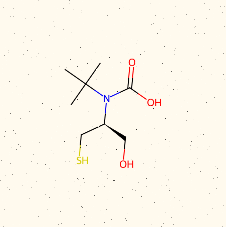 CC(C)(C)N(C(=O)O)[C@@H](CO)CS